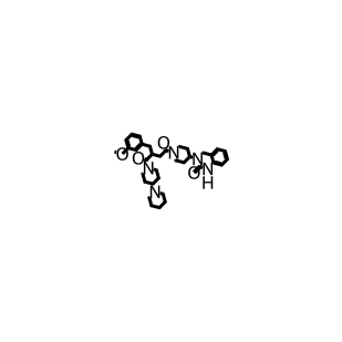 COc1cccc(CC(CC(=O)N2CCC(N3Cc4ccccc4NC3=O)CC2)C(=O)N2CCC(N3CCCCC3)CC2)c1